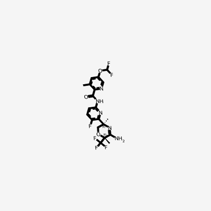 Cc1cc(OC(F)F)cnc1C(=O)Nc1ccc(F)c([C@]2(C)CO[C@@](C)(C(F)(F)F)C(N)=N2)n1